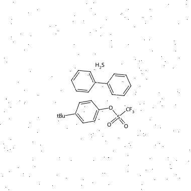 CC(C)(C)c1ccc(OS(=O)(=O)C(F)(F)F)cc1.S.c1ccc(-c2ccccc2)cc1